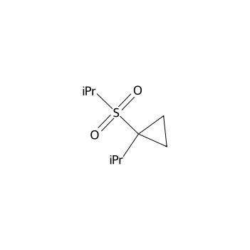 CC(C)C1(S(=O)(=O)C(C)C)CC1